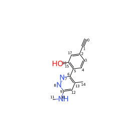 C#Cc1ccc(-c2nnc(NC)cc2C)c(O)c1